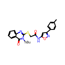 CCCCn1c(SCC(=O)Nc2cc(-c3ccc(C)cc3)no2)nc2ccccc2c1=O